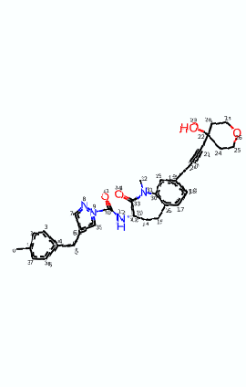 Cc1ccc(Cc2cnn(C(=O)N[C@H]3CCc4ccc(C#CC5(O)CCOCC5)cc4N(C)C3=O)c2)cc1